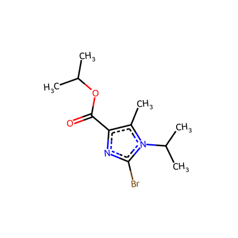 Cc1c(C(=O)OC(C)C)nc(Br)n1C(C)C